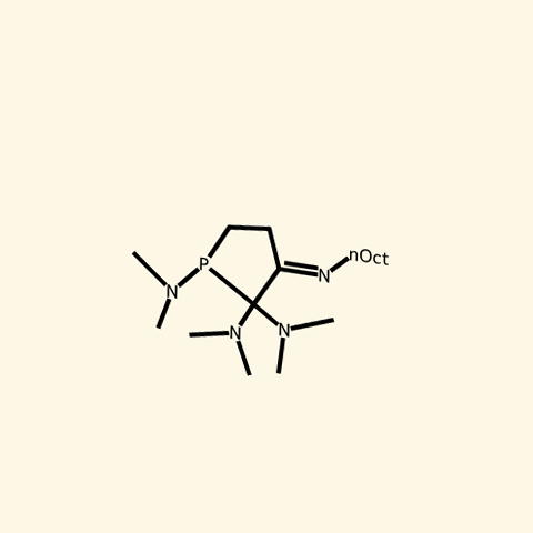 CCCCCCCCN=C1CCP(N(C)C)C1(N(C)C)N(C)C